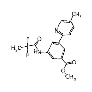 COC(=O)c1cc(NC(=O)C(C)(F)F)cc(-c2ccc(C)cn2)c1